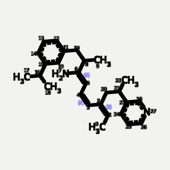 C\C=C(/C=C\C=C(/N)C(C)Cc1cccc(C(C)C)c1)CC(C)c1cccnc1